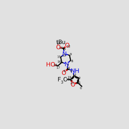 Cc1cc(NC(=O)N2CCN(C(=O)OC(C)(C)C)CC2CO)c(C(F)(F)F)o1